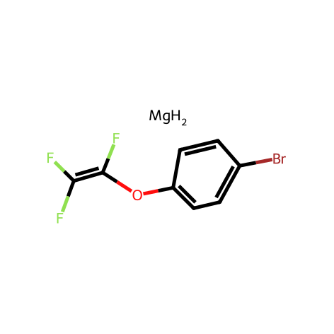 FC(F)=C(F)Oc1ccc(Br)cc1.[MgH2]